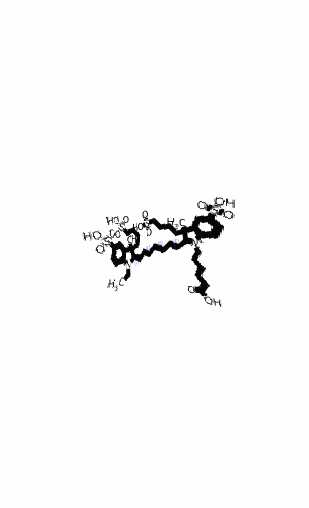 CCN1/C(=C/C=C/C=C/C=C/C2=[N+](CCCCCC(=O)O)c3ccc(S(=O)(=O)O)cc3C2(C)CCCCS(=O)(=O)O)C(C)(CCCCS(=O)(=O)O)c2cc(S(=O)(=O)O)ccc21